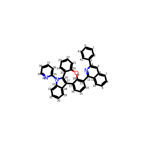 c1ccc(-c2cc3ccccc3c(-c3cccc4c3Oc3ccccc3-c3c-4c4ccccc4n3-c3ccccn3)n2)cc1